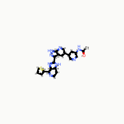 CCC(=O)Nc1cncc(-c2cnc3[nH]nc(-c4nc5c(-c6cccs6)nccc5[nH]4)c3c2)c1